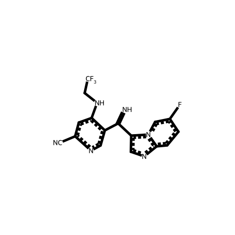 N#Cc1cc(NCC(F)(F)F)c(C(=N)c2cnc3ccc(F)cn23)cn1